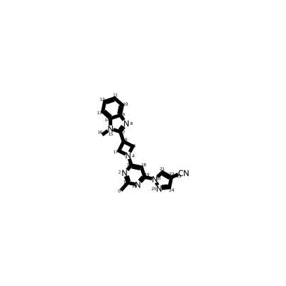 Cc1nc(N2CC(c3nc4ccccc4n3C)C2)cc(-n2cc(C#N)cn2)n1